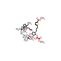 CCC1(C(C/C=C/[C@@H]2[C@@H](CCCc3ccc(C(=O)OC)s3)[C@@H](OC(=O)C(=O)OC)C[C@H]2O[Si](C)(C)C(C)(C)C)O[Si](C)(C)C(C)(C)C)CCC1